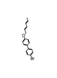 CC=CC=CCOc1ccc(-c2ccc(Br)cc2)cc1